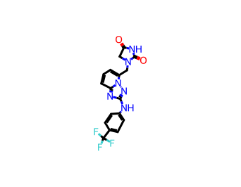 O=C1CN(Cc2cccc3nc(Nc4ccc(C(F)(F)F)cc4)nn23)C(=O)N1